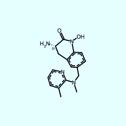 Cc1cccnc1N(C)Cc1ccc2c(c1)C[C@H](N)C(=O)N2O